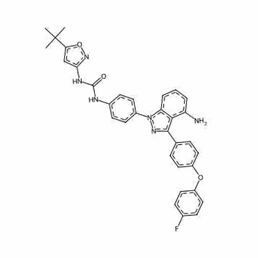 CC(C)(C)c1cc(NC(=O)Nc2ccc(-n3nc(-c4ccc(Oc5ccc(F)cc5)cc4)c4c(N)cccc43)cc2)no1